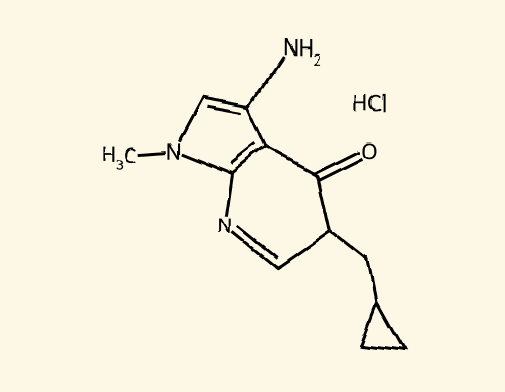 Cl.Cn1cc(N)c2c1N=CC(CC1CC1)C2=O